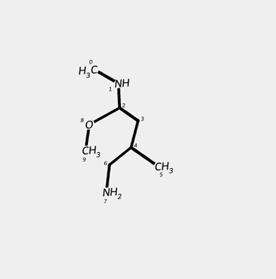 CNC(CC(C)CN)OC